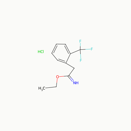 CCOC(=N)Cc1ccccc1C(F)(F)F.Cl